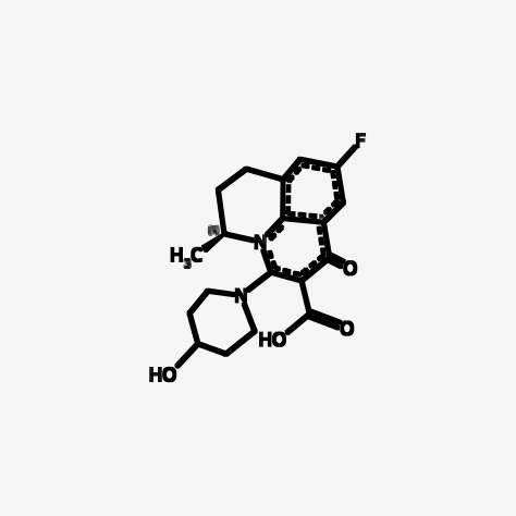 C[C@H]1CCc2cc(F)cc3c(=O)c(C(=O)O)c(N4CCC(O)CC4)n1c23